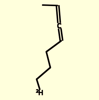 [2H]CCCC=C=CC